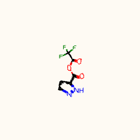 O=C(OC(=O)C(F)(F)F)c1ccn[nH]1